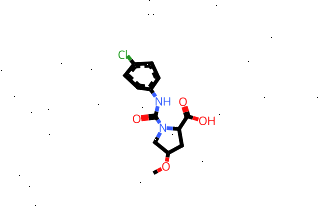 COC1CC(C(=O)O)N(C(=O)Nc2ccc(Cl)cc2)C1